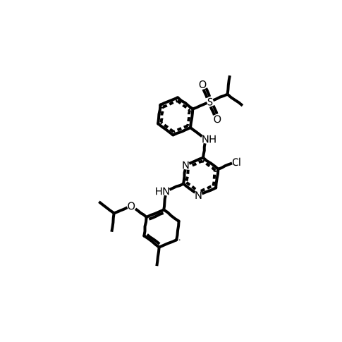 CC1=CC(OC(C)C)=C(Nc2ncc(Cl)c(Nc3ccccc3S(=O)(=O)C(C)C)n2)C[CH]1